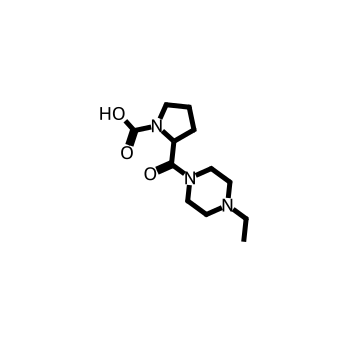 CCN1CCN(C(=O)C2CCCN2C(=O)O)CC1